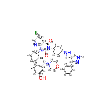 Cn1cc(CN[C@H]2CC[C@@H](n3c(=O)c4cc(F)cnc4n(-c4cccc(-c5ccc(O)cc5CN5CCOCC5)c4)c3=O)CC2)c(-c2ccccc2)n1